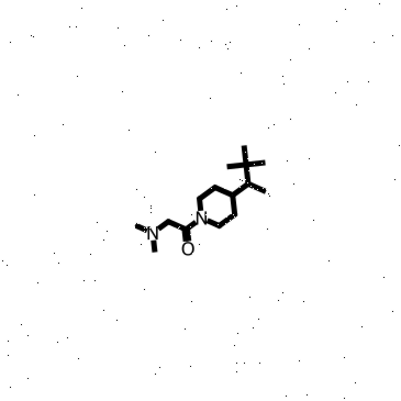 CC(C1CCN(C(=O)CN(C)C)CC1)C(C)(C)C